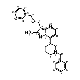 Cc1nn2c(C3CCCN(Cc4ccccc4)C3)ccnc2c1COCc1ccccc1